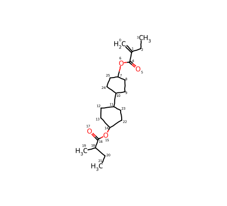 C=C(CC)C(=O)OC1CCC(C2CCC(OC(=O)C(C)CC)CC2)CC1